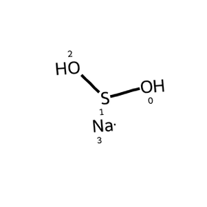 OSO.[Na]